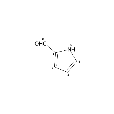 O=[C]c1ccc[nH]1